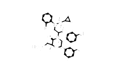 CCC(CN(c1ccccc1F)S(=O)(=O)C1CC1)N1C(=O)[C@@](C)(CC(=O)O)O[C@H](c2cccc(Cl)c2)[C@H]1c1ccc(Cl)cc1